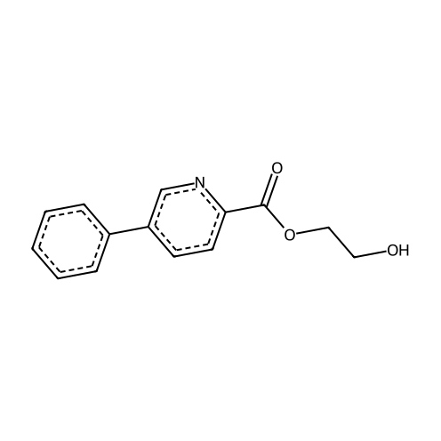 O=C(OCCO)c1ccc(-c2ccccc2)cn1